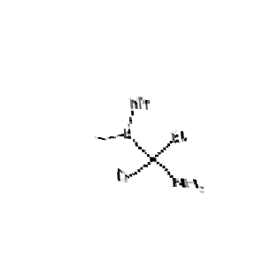 CCCB(C)C(N)(CC)CC